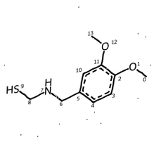 COc1ccc(CNCS)cc1OC